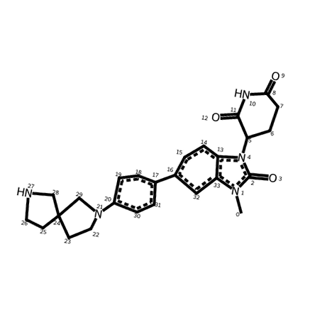 Cn1c(=O)n(C2CCC(=O)NC2=O)c2ccc(-c3ccc(N4CCC5(CCNC5)C4)cc3)cc21